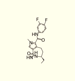 CC[C@@H]1CCc2c(cn(C)c2C(=O)Nc2ccc(F)c(F)c2)S(=N)(=O)N1